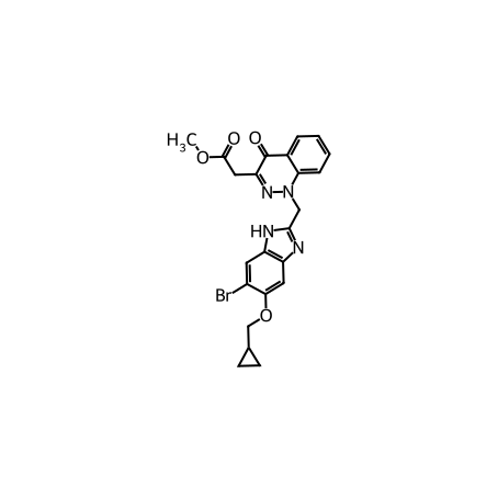 COC(=O)Cc1nn(Cc2nc3cc(OCC4CC4)c(Br)cc3[nH]2)c2ccccc2c1=O